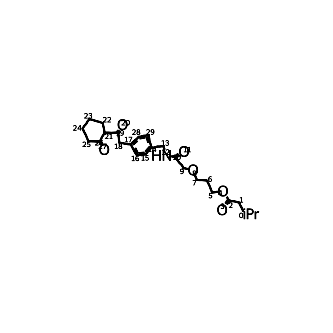 CC(C)CC(=O)OCCCOCC(=O)NCc1ccc(CC(=O)C2CCCCC2=O)cc1